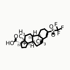 C[C@]12CC[C@H]3[C@@H](CC=C4C=C(S(=O)(=O)C(F)(F)F)CC[C@@]43C)[C@@H]1CC[C@@H]2C(=O)O